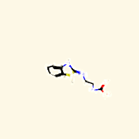 O=C(O)NCCNc1nc2ccccc2s1